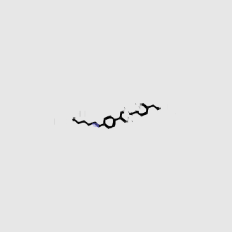 C=CCc1ccc(-c2ncc(-c3ccc(/C=C/CCCC(C)O)cc3)cn2)nc1